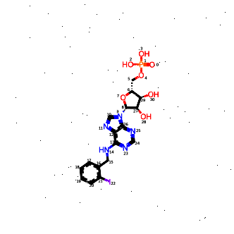 O=P(O)(O)OC[C@H]1O[C@@H](n2cnc3c(NCc4ccccc4I)ncnc32)[C@H](O)[C@@H]1O